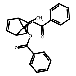 CC1=CC2C=CC1C2(OC(=O)c1ccccc1)OC(=O)c1ccccc1